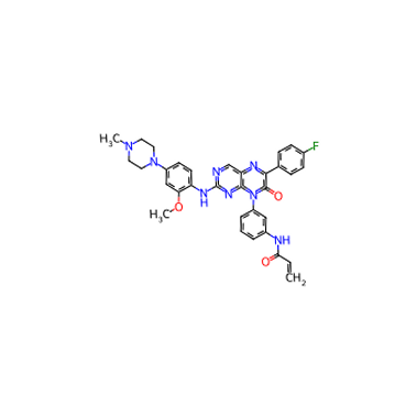 C=CC(=O)Nc1cccc(-n2c(=O)c(-c3ccc(F)cc3)nc3cnc(Nc4ccc(N5CCN(C)CC5)cc4OC)nc32)c1